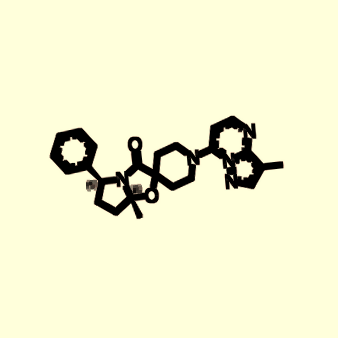 Cc1cnn2c(N3CCC4(CC3)O[C@]3(C)CC[C@@H](c5ccccc5)N3C4=O)ccnc12